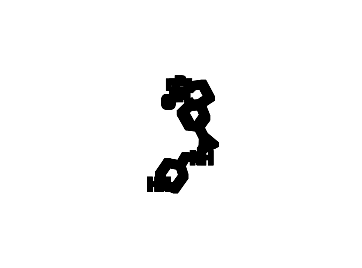 CCC[S+]([O-])N1CCCc2cc(C3CC3NCC3CCNCC3)ccc21